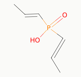 CC=CP(=O)(O)C=CC